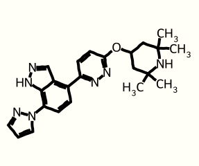 CC1(C)CC(Oc2ccc(-c3ccc(-n4cccn4)c4[nH]ncc34)nn2)CC(C)(C)N1